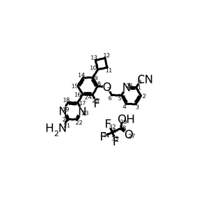 N#Cc1cccc(COc2c(C3CCC3)ccc(-c3cnc(N)cn3)c2F)n1.O=C(O)C(F)(F)F